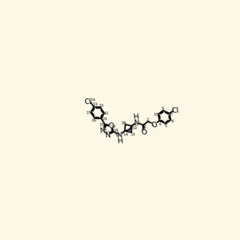 O=C(COc1ccc(Cl)cc1)NC12CC(Nc3nnc(-c4ccc(Cl)cc4)o3)(C1)C2